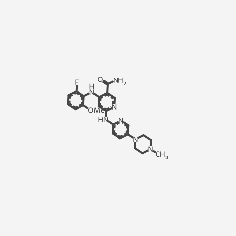 COc1cccc(F)c1Nc1cc(Nc2ccc(N3CCN(C)CC3)cn2)ncc1C(N)=O